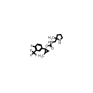 CC1C[C@]1(OC(=O)NCC1(C)CCCN1)c1ccc(F)c(C(F)(F)F)c1